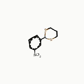 O=[N+]([O-])c1cccc(C2SCCCS2)c1